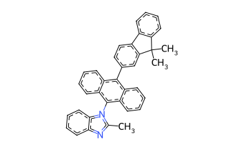 Cc1nc2ccccc2n1-c1c2ccccc2c(-c2ccc3c(c2)C(C)(C)c2ccccc2-3)c2ccccc12